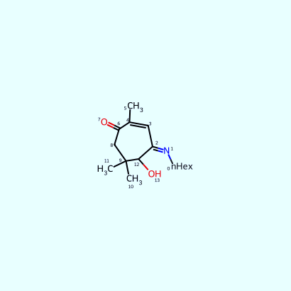 CCCCCCN=C1C=C(C)C(=O)CC(C)(C)C1O